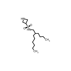 CCCCCCC(CCCC)CNS(=O)(=O)C1CNC1